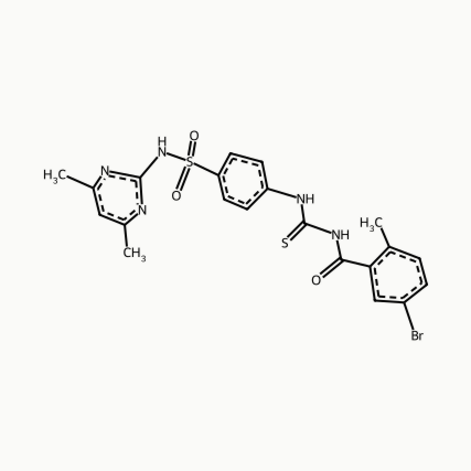 Cc1cc(C)nc(NS(=O)(=O)c2ccc(NC(=S)NC(=O)c3cc(Br)ccc3C)cc2)n1